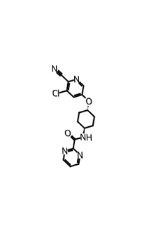 N#Cc1ncc(O[C@H]2CC[C@H](NC(=O)c3ncccn3)CC2)cc1Cl